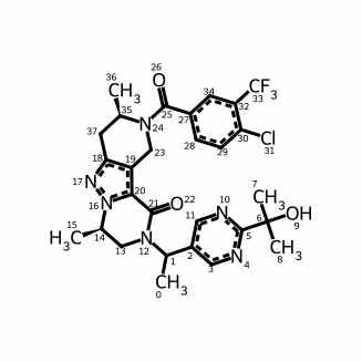 CC(c1cnc(C(C)(C)O)nc1)N1C[C@@H](C)n2nc3c(c2C1=O)CN(C(=O)c1ccc(Cl)c(C(F)(F)F)c1)[C@H](C)C3